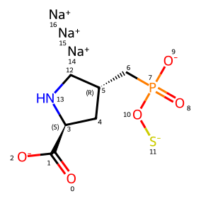 O=C([O-])[C@@H]1C[C@@H](CP(=O)([O-])O[S-])CN1.[Na+].[Na+].[Na+]